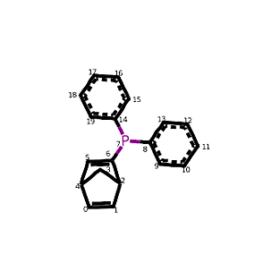 C1=CC2CC1C=C2P(c1ccccc1)c1ccccc1